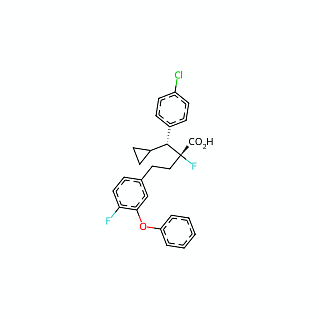 O=C(O)[C@@](F)(CCc1ccc(F)c(Oc2ccccc2)c1)[C@@H](c1ccc(Cl)cc1)C1CC1